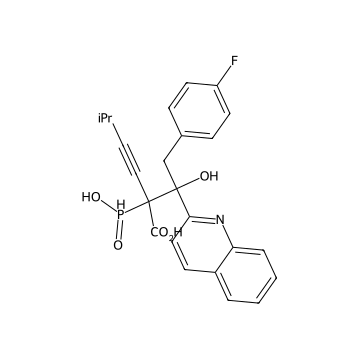 CC(C)C#CC(C(=O)O)([PH](=O)O)C(O)(Cc1ccc(F)cc1)c1ccc2ccccc2n1